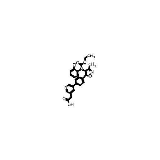 CCOC(=O)N(c1ccccc1Cl)c1c(C)noc1-c1ccc(-c2cncc(CC(=O)O)c2)cc1